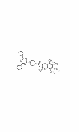 Cc1c(C)c2c(c(C)c1O)CCC(C)(CC(=O)N1CCN(c3nc(N4CCCC4)nc(N4CCCC4)n3)CC1)O2